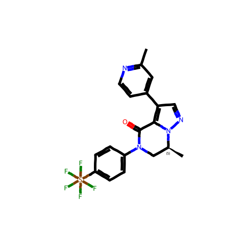 Cc1cc(-c2cnn3c2C(=O)N(c2ccc(S(F)(F)(F)(F)F)cc2)C[C@@H]3C)ccn1